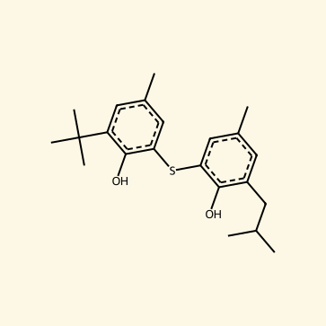 Cc1cc(CC(C)C)c(O)c(Sc2cc(C)cc(C(C)(C)C)c2O)c1